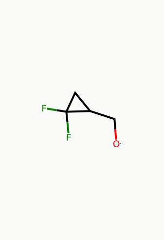 [O]CC1CC1(F)F